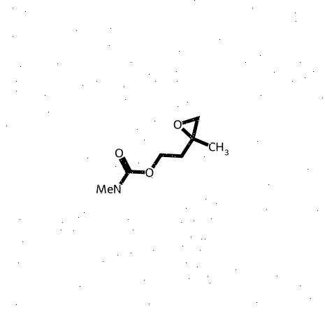 CNC(=O)OCCC1(C)CO1